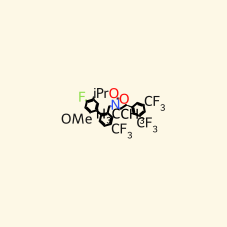 COc1cc(F)c(C(C)C)cc1-c1ccc(C(F)(F)F)cc1CN1C(=O)O[C@@H](c2cc(C(F)(F)F)cc(C(F)(F)F)c2)C1(C)C